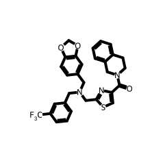 O=C(c1csc(CN(Cc2cccc(C(F)(F)F)c2)Cc2ccc3c(c2)OCO3)n1)N1CCc2ccccc2C1